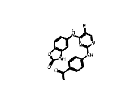 CC(=O)c1ccc(Nc2ncc(F)c(Nc3ccc4oc(=O)[nH]c4c3)n2)cc1